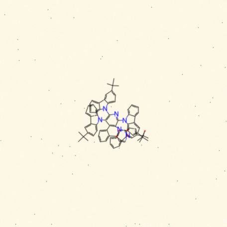 CC(C)(C)c1ccc2c(c1)c1ccccc1n2-c1nc(-n2c3ccccc3c3cc(C(C)(C)C)ccc32)c(-n2c3ccccc3c3cc(C(C)(C)C)ccc32)c(-c2ccccc2-c2ccncc2)c1-n1c2ccccc2c2cc(C(C)(C)C)ccc21